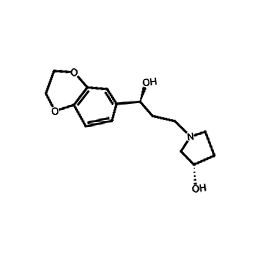 O[C@H]1CCN(CC[C@H](O)c2ccc3c(c2)OCCO3)C1